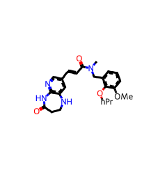 CCCOc1c(CN(C)C(=O)C=Cc2cnc3c(c2)NCCC(=O)N3)cccc1OC